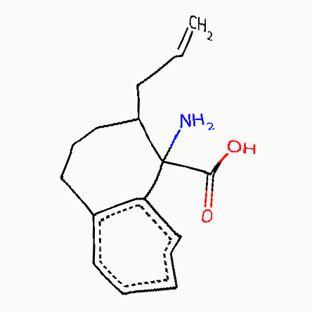 C=CCC1CCc2ccccc2C1(N)C(=O)O